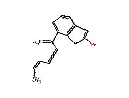 C=C(/C=C\C=C/C)c1cccc2c1CC(Br)=C2